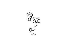 CC(C)C(=O)CCCC(=O)ONC(=O)OC(C)(C)C